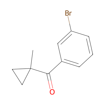 CC1(C(=O)c2cccc(Br)c2)CC1